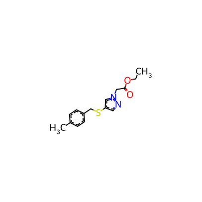 CCOC(=O)Cn1cc(SCc2ccc(C)cc2)cn1